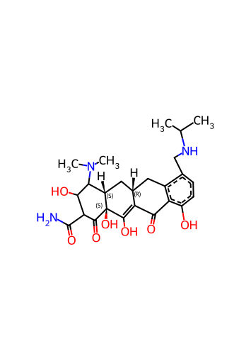 CC(C)NCc1ccc(O)c2c1C[C@H]1C[C@H]3C(N(C)C)C(O)C(C(N)=O)C(=O)[C@@]3(O)C(O)=C1C2=O